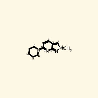 Cn1cc2ccc(N3CCCCC3)nc2n1